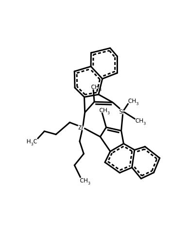 CCC[CH2][Zr]1([CH2]CCC)[CH]2C(C)=C(c3c2ccc2ccccc32)[Si](C)(C)C2=C(C)[CH]1c1ccc3ccccc3c12